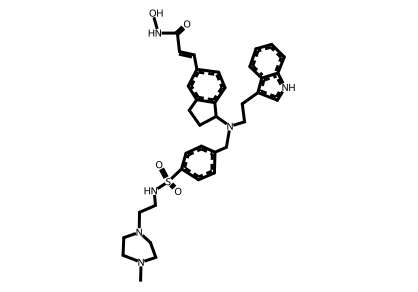 CN1CCN(CCNS(=O)(=O)c2ccc(CN(CCc3c[nH]c4ccccc34)C3CCc4cc(C=CC(=O)NO)ccc43)cc2)CC1